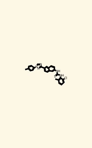 Cc1ccc(-n2cnc(-c3ccc4cc(NC(=S)Nc5c(C)cccc5Cl)ccc4c3)n2)cc1